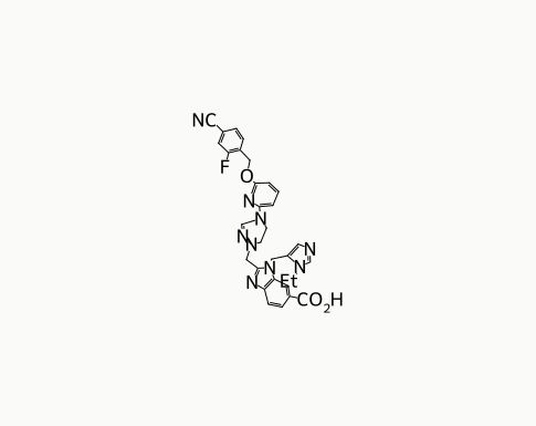 CCn1cncc1Cn1c(CN2CCN(c3cccc(OCc4ccc(C#N)cc4F)n3)C=N2)nc2ccc(C(=O)O)cc21